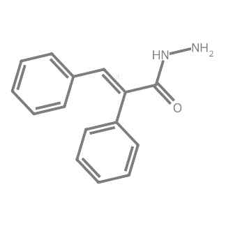 NNC(=O)/C(=C/c1ccccc1)c1ccccc1